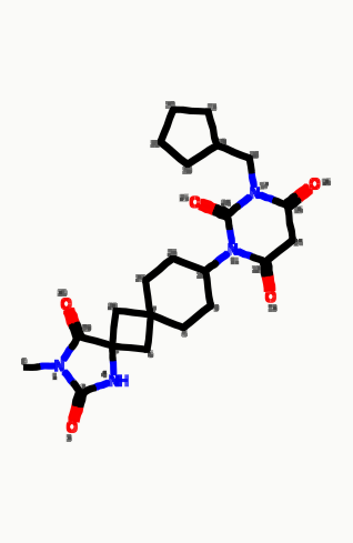 CN1C(=O)NC2(CC3(CCC(N4C(=O)CC(=O)N(CC5CCCC5)C4=O)CC3)C2)C1=O